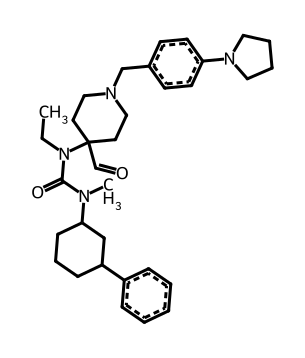 CCN(C(=O)N(C)C1CCCC(c2ccccc2)C1)C1(C=O)CCN(Cc2ccc(N3CCCC3)cc2)CC1